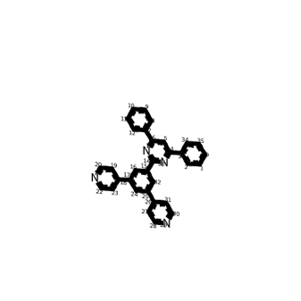 c1ccc(-c2cc(-c3ccccc3)nc(-c3cc(-c4ccncc4)cc(-c4ccncc4)c3)n2)cc1